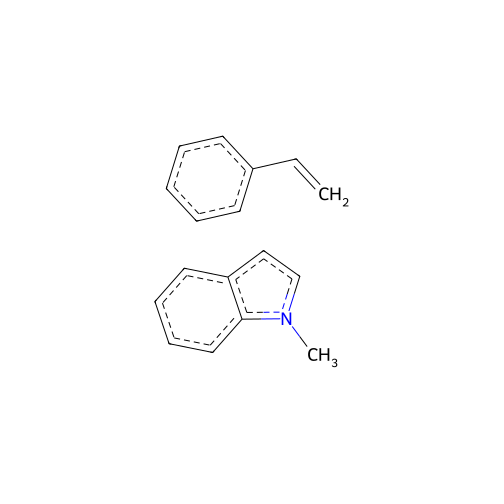 C=Cc1ccccc1.Cn1ccc2ccccc21